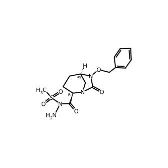 CS(=O)(=O)N(N)C(=O)[C@H]1CC[C@@H]2CN1C(=O)N2OCc1ccccc1